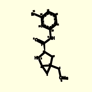 COCC12CC1N[C@H](C(=O)Nc1cccc(Br)n1)C2